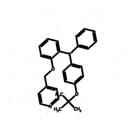 CC(C)(C)Oc1ccc([S+](c2ccccc2)c2ccccc2OCc2ccncc2)cc1